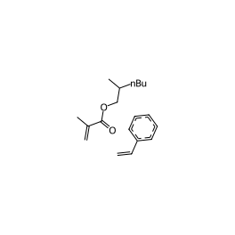 C=C(C)C(=O)OCC(C)CCCC.C=Cc1ccccc1